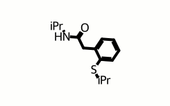 CC(C)NC(=O)Cc1ccccc1SC(C)C